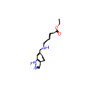 CCOC(=O)CCCNCc1ccc2cn[nH]c2c1